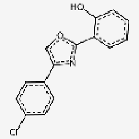 Oc1ccccc1-c1nc(-c2ccc(Cl)cc2)co1